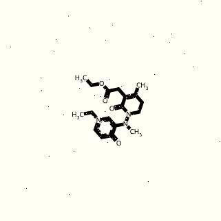 CCOC(=O)CC1=C(C)CCN(N(C)c2cn(CC)ccc2=O)C1=O